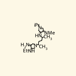 CCN[C@H]1CN(C(C)CCC(C)N[C@H]2CN(C(C)C)C[C@@H]2NC)C[C@H]1N